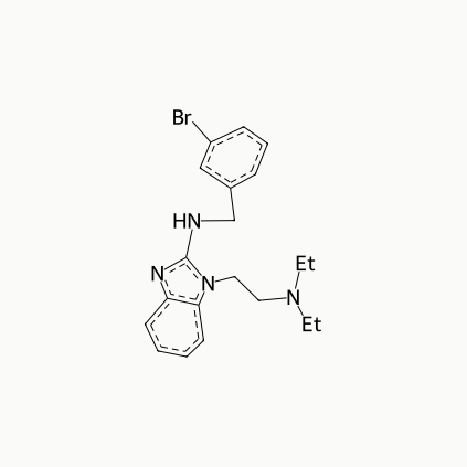 CCN(CC)CCn1c(NCc2cccc(Br)c2)nc2ccccc21